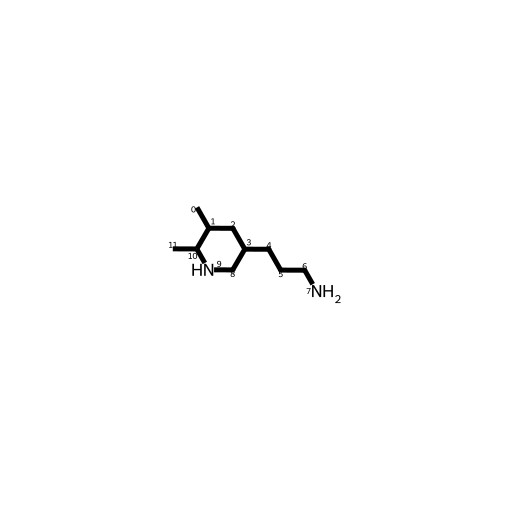 CC1CC(CCCN)CNC1C